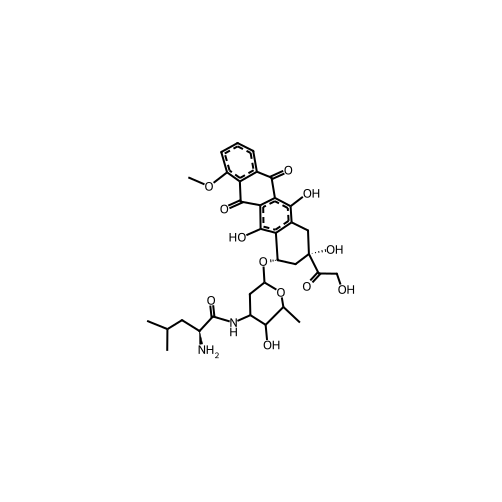 COc1cccc2c1C(=O)c1c(O)c3c(c(O)c1C2=O)C[C@@](O)(C(=O)CO)C[C@@H]3OC1CC(NC(=O)[C@@H](N)CC(C)C)C(O)C(C)O1